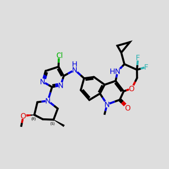 CO[C@@H]1C[C@H](C)CN(c2ncc(Cl)c(Nc3ccc4c(c3)c3c(c(=O)n4C)OCC(F)(F)C(C4CC4)N3)n2)C1